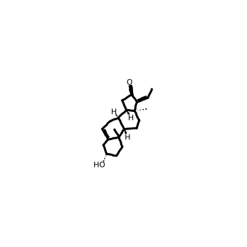 C/C=C1\C(=O)C[C@H]2[C@@H]3CC=C4C[C@@H](O)CCC4(C)[C@H]3CC[C@]12C